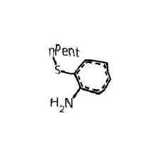 [CH2]CCCCSc1ccccc1N